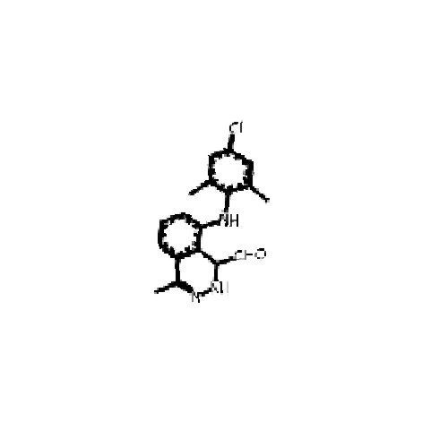 CC1=NNC(C=O)c2c(Nc3c(C)cc(Cl)cc3C)cccc21